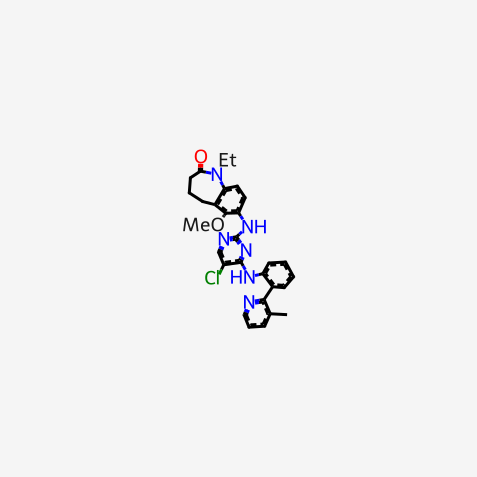 CCN1C(=O)CCCc2c1ccc(Nc1ncc(Cl)c(Nc3ccccc3-c3ncccc3C)n1)c2OC